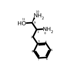 NC(Cc1ccccc1)[C@H](N)O